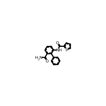 NC(=O)c1cccc(NC(=O)c2cccs2)c1-c1ccccc1